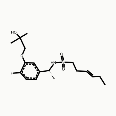 CC/C=C/CCS(=O)(=O)N[C@H](C)c1ccc(F)c(OCC(C)(C)O)c1